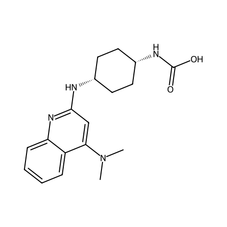 CN(C)c1cc(N[C@H]2CC[C@@H](NC(=O)O)CC2)nc2ccccc12